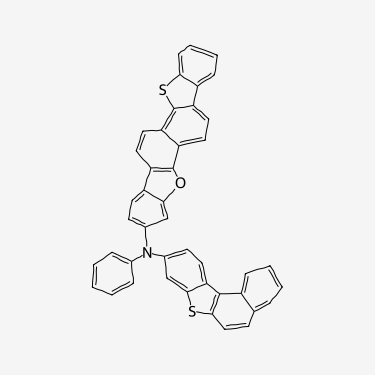 c1ccc(N(c2ccc3c(c2)oc2c3ccc3c2ccc2c4ccccc4sc23)c2ccc3c(c2)sc2ccc4ccccc4c23)cc1